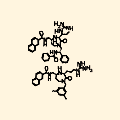 CCC(NC(=N)N)[C@@H]1N[C@H](CNC(=O)c2ccc3ccccc3c2)CCN(C[C@@H](NC(=O)c2ccccc2)c2ccccc2)C1=O.Cc1cc(C)cc(CN2CC[C@@H](CNC(=O)c3ccc4ccccc4c3)N[C@@H](CCCNC(=N)N)C2=O)c1